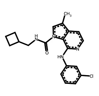 Cc1cn(C(=O)NCC2CCC2)c2c(Nc3cccc(Cl)c3)nccc12